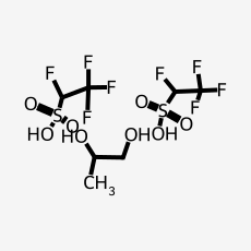 CC(O)CO.O=S(=O)(O)C(F)C(F)(F)F.O=S(=O)(O)C(F)C(F)(F)F